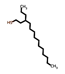 CCCCCCCCCCCC(CCC)CCS